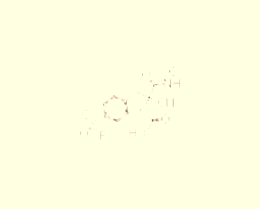 CC(=O)OC(C)(Cc1ccc(S(=O)(=O)F)cc1)C(=O)NCl